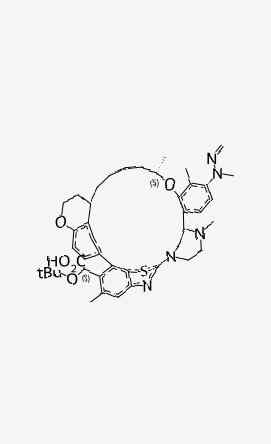 C=NN(C)c1ccc2c(c1C)O[C@@H](C)CCCCC1CCOc3ccc(cc31)-c1c([C@H](OC(C)(C)C)C(=O)O)c(C)cc3nc(sc13)N1CCN(C)C2C1